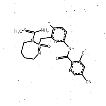 C/N=C(/N)N1CCCCN=S1(=O)Cc1nc(NC(=O)c2ncc(C#N)cc2C)ccc1F